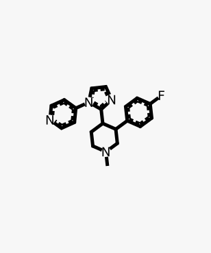 CN1CCC(c2nccn2-c2ccncc2)C(c2ccc(F)cc2)C1